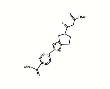 COC(=O)CC(=O)C1CCc2nc(-c3ccc(C(=O)OC)cc3)oc2C1